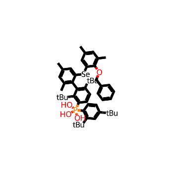 Cc1cc(C)c(OCc2ccccc2)c([Se]c2cc(C)cc(C)c2-c2c(C(C)(C)C)ccc(P(O)(O)(O)c3ccc(C(C)(C)C)cc3C(C)(C)C)c2C(C)(C)C)c1